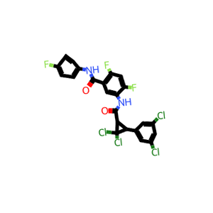 O=C(Nc1ccc(F)cc1)c1cc(NC(=O)C2C(c3cc(Cl)cc(Cl)c3)C2(Cl)Cl)c(F)cc1F